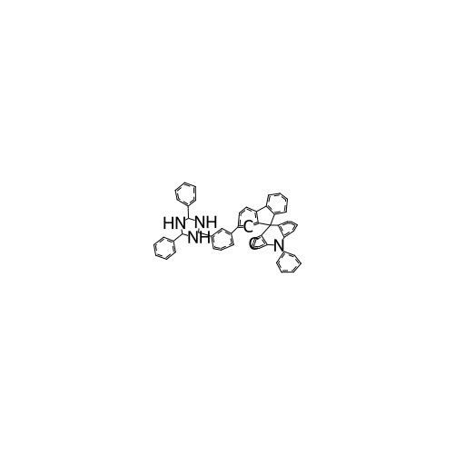 c1ccc(C2NC(c3ccccc3)NC(c3cccc(-c4ccc5c(c4)C4(c6ccccc6-5)c5ccccc5N(c5ccccc5)c5ccccc54)c3)N2)cc1